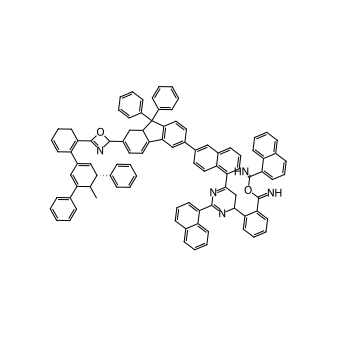 CC1C(c2ccccc2)=CC(C2=C(C3=NC(C4=CC=C5c6cc(-c7ccc8c(C9=NC(c%10cccc%11ccccc%10%11)=NC(c%10ccccc%10C(=N)OC(=N)c%10cccc%11ccccc%10%11)C9)cccc8c7)ccc6C(c6ccccc6)(c6ccccc6)C5C4)O3)CCC=C2)=C[C@@H]1c1ccccc1